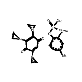 CC(C)(C)c1ccc(OP(=O)(O)O)c(C(C)(C)C)c1.O=C1C=C(N2CC2)C(=O)C(N2CC2)=C1N1CC1